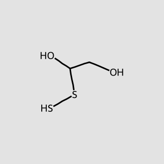 OCC(O)SS